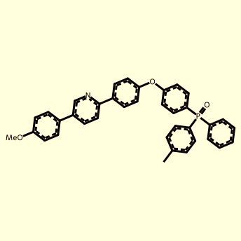 COc1ccc(-c2ccc(-c3ccc(Oc4ccc(P(=O)(c5ccccc5)c5ccc(C)cc5)cc4)cc3)nc2)cc1